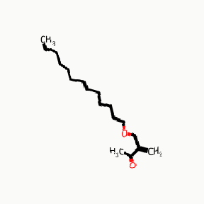 C=C(COCCCCCCCCCCCCC)C(C)=O